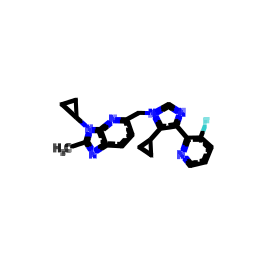 Cc1nc2ccc(Cn3cnc(-c4ncccc4F)c3C3CC3)nc2n1C1CC1